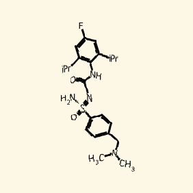 CC(C)c1cc(F)cc(C(C)C)c1NC(=O)N=[S@](N)(=O)c1ccc(CN(C)C)cc1